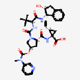 C=C[C@@H]1C[C@]1(NC(=O)[C@@H]1C[C@@H](OC(=O)N(C)c2cccnc2)CN1C(=O)N[C@H](C(=O)N[C@H]1c2ccccc2C[C@H]1O)C(C)(C)C)C(=O)O